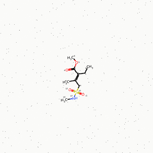 CC/C(C(=O)OC)=C(/C)CS(=O)(=O)NC